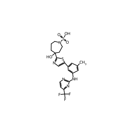 Cc1cc(Nc2nccc(C(F)(F)F)n2)cc(-c2cnc(C3(O)CCCN(S(=O)(=O)O)CC3)s2)c1